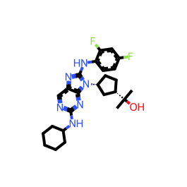 CC(C)(O)[C@H]1CC[C@@H](n2c(Nc3ccc(F)cc3F)nc3cnc(NC4CCCCC4)nc32)C1